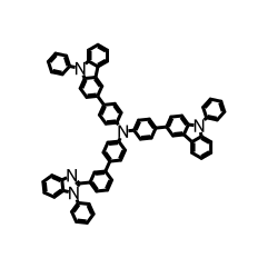 c1ccc(-n2c(-c3cccc(-c4ccc(N(c5ccc(-c6ccc7c(c6)c6ccccc6n7-c6ccccc6)cc5)c5ccc(-c6ccc7c(c6)c6ccccc6n7-c6ccccc6)cc5)cc4)c3)nc3ccccc32)cc1